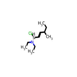 CCC(C)C=C[SiH](Cl)N(CC)CC